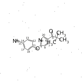 CC(C)(C)C(=O)c1ccc(Oc2ccc(C#N)cc2)nc1